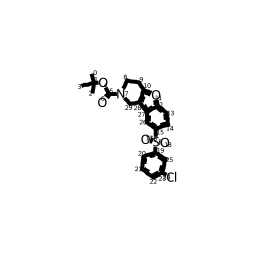 CC(C)(C)OC(=O)N1CCc2oc3ccc(S(=O)(=O)c4cccc(Cl)c4)cc3c2C1